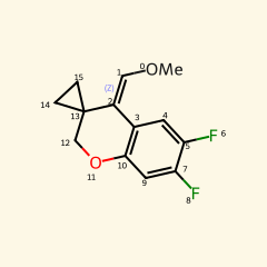 CO/C=C1\c2cc(F)c(F)cc2OCC12CC2